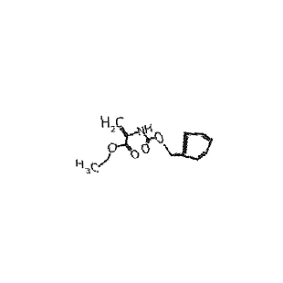 C=C(NC(=O)OCc1ccccc1)C(=O)OCC